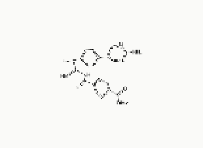 COC(=O)c1ccc(C(=O)NC(=N)C2(c3ccc(-c4cnc(N)nc4)cc3)CCC2)cn1